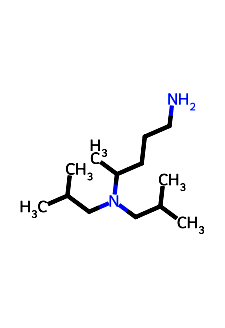 CC(C)CN(CC(C)C)C(C)CCCN